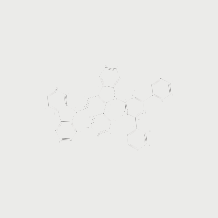 c1ccc(-c2nc(-c3ccccc3)nc(-n3c4ccccc4c4cc(-n5c6ccccc6c6ccccc65)c5ccccc5c43)n2)cc1